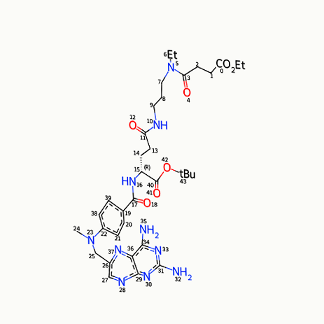 CCOC(=O)CCC(=O)N(CC)CCCNC(=O)CC[C@@H](NC(=O)c1ccc(N(C)Cc2cnc3nc(N)nc(N)c3n2)cc1)C(=O)OC(C)(C)C